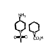 CS(=O)(=O)N1CCC(N)CC1.O=C(O)N1CCCCC1